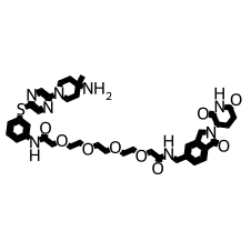 CC1(N)CCN(c2cnc(Sc3cccc(NC(=O)COCCOCCOCCOCC(=O)NCc4ccc5c(c4)CN(C4CCC(=O)NC4=O)C5=O)c3)cn2)CC1